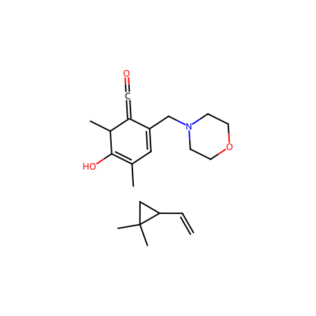 C=CC1CC1(C)C.CC1=C(O)C(C)C(=C=O)C(CN2CCOCC2)=C1